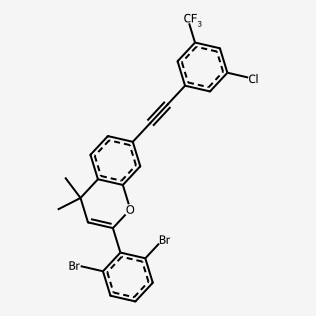 CC1(C)C=C(c2c(Br)cccc2Br)Oc2cc(C#Cc3cc(Cl)cc(C(F)(F)F)c3)ccc21